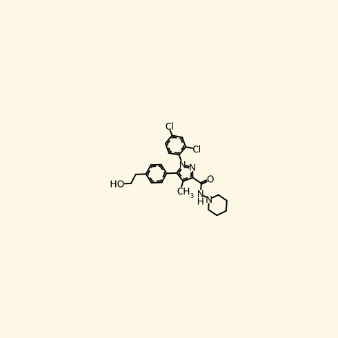 Cc1c(C(=O)NN2CCCCC2)nn(-c2ccc(Cl)cc2Cl)c1-c1ccc(CCO)cc1